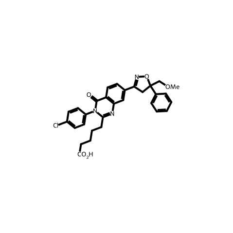 COCC1(c2ccccc2)CC(c2ccc3c(=O)n(-c4ccc(Cl)cc4)c(CCCCC(=O)O)nc3c2)=NO1